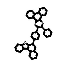 c1ccc(-c2nc3c4ccccc4c4ccccc4c3nc2-c2ccc(-c3cc4ccccc4c4c3oc3ccccc34)cc2)cc1